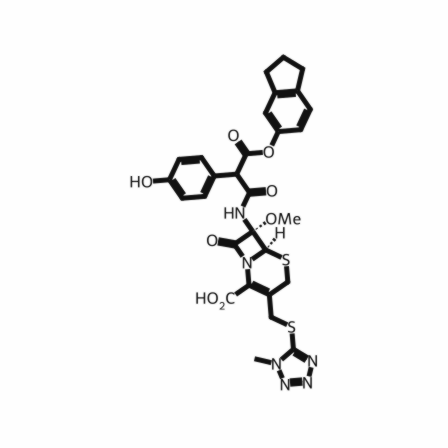 CO[C@@]1(NC(=O)C(C(=O)Oc2ccc3c(c2)CCC3)c2ccc(O)cc2)C(=O)N2C(C(=O)O)=C(CSc3nnnn3C)CS[C@@H]21